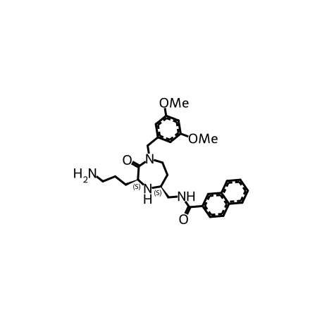 COc1cc(CN2CC[C@@H](CNC(=O)c3ccc4ccccc4c3)N[C@@H](CCCN)C2=O)cc(OC)c1